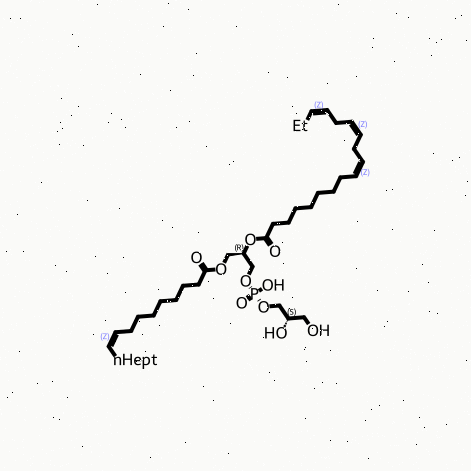 CC/C=C\C/C=C\C/C=C\CCCCCCCC(=O)O[C@H](COC(=O)CCCCCCC/C=C\CCCCCCC)COP(=O)(O)OC[C@@H](O)CO